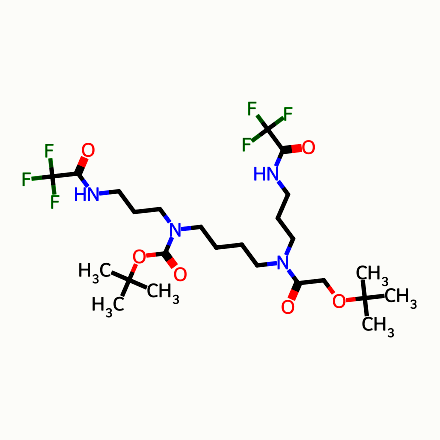 CC(C)(C)OCC(=O)N(CCCCN(CCCNC(=O)C(F)(F)F)C(=O)OC(C)(C)C)CCCNC(=O)C(F)(F)F